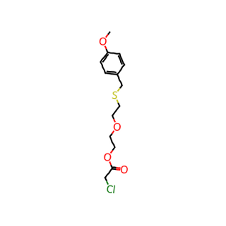 COc1ccc(CSCCOCCOC(=O)CCl)cc1